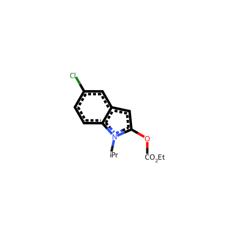 CCOC(=O)Oc1cc2cc(Cl)ccc2n1C(C)C